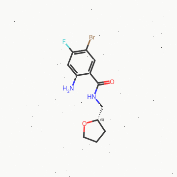 Nc1cc(F)c(Br)cc1C(=O)NC[C@@H]1CCCO1